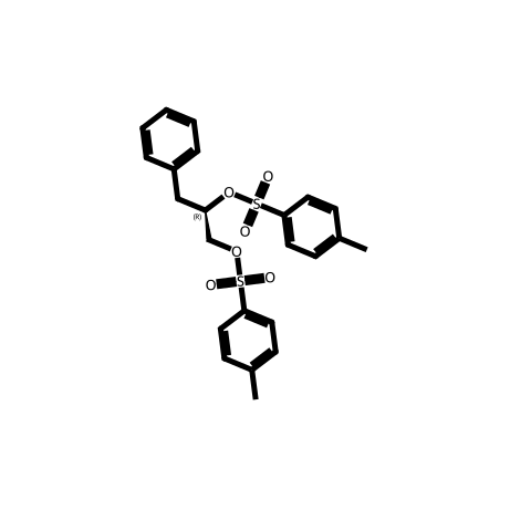 Cc1ccc(S(=O)(=O)OC[C@@H](Cc2ccccc2)OS(=O)(=O)c2ccc(C)cc2)cc1